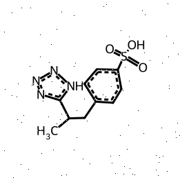 CC(Cc1ccc(S(=O)(=O)O)cc1)c1nnn[nH]1